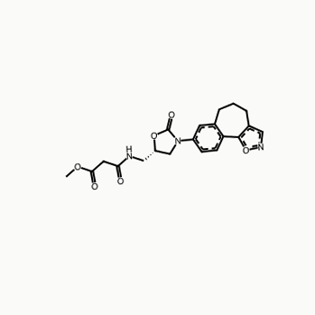 COC(=O)CC(=O)NC[C@H]1CN(c2ccc3c(c2)CCCc2cnoc2-3)C(=O)O1